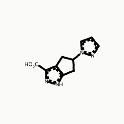 O=C(O)c1n[nH]c2c1CC(n1cccn1)C2